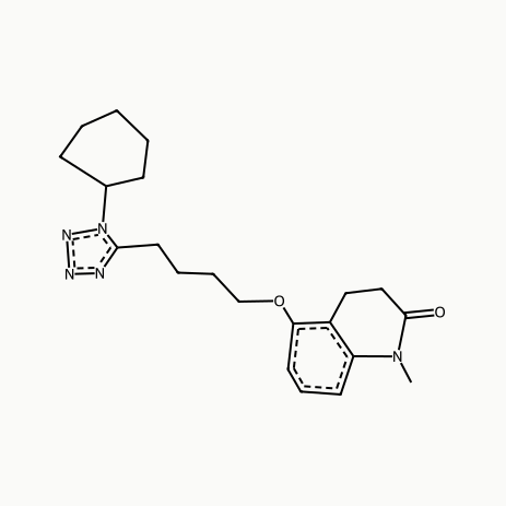 CN1C(=O)CCc2c(OCCCCc3nnnn3C3CCCCC3)cccc21